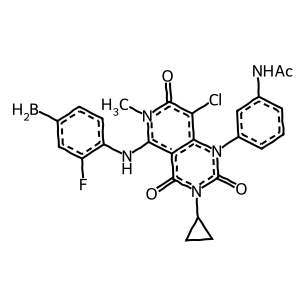 Bc1ccc(Nc2c3c(=O)n(C4CC4)c(=O)n(-c4cccc(NC(C)=O)c4)c3c(Cl)c(=O)n2C)c(F)c1